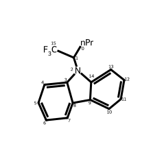 CCCC(n1c2ccccc2c2ccccc21)C(F)(F)F